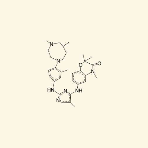 Cc1cc(Nc2ncc(C)c(Nc3ccc4c(c3)N(C)C(=O)C(C)(C)O4)n2)ccc1N1CCC(C)CN(C)CC1